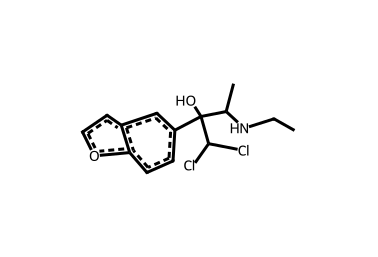 CCNC(C)C(O)(c1ccc2occc2c1)C(Cl)Cl